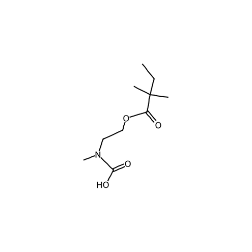 CCC(C)(C)C(=O)OCCN(C)C(=O)O